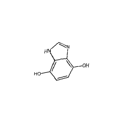 Oc1ccc(O)c2[nH]cnc12